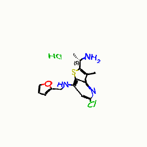 Cc1c([C@H](C)N)sc2c(NCc3ccco3)cc(Cl)nc12.Cl